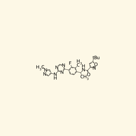 Cc1c(C(C)NC(=O)c2cc(C(C)(C)C)on2)ccc(-c2ncnc(Nc3cnn(C)c3)n2)c1F